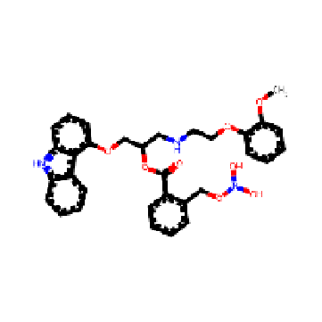 COc1ccccc1OCCNCC(COc1cccc2[nH]c3ccccc3c12)OC(=O)c1ccccc1CON(O)O